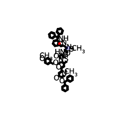 CO/N=C(\C(=O)N[C@@H]1C(=O)N2C(C(=O)OCc3ccc(OC)cc3)=C(C=Cc3cc(=O)c(OC(c4ccccc4)c4ccccc4)cn3C)CS[C@H]12)c1csc(NC(c2ccccc2)(c2ccccc2)c2ccccc2)n1